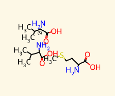 CC(C)C(N)C(=O)O.CC(C)[C@H](N)C(=O)O.CSCCC(N)C(=O)O